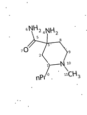 CCCC1CC(N)(C(N)=O)CCN1C